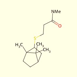 CNC(=O)CCSC1CC2CCC1(C)C2(C)C